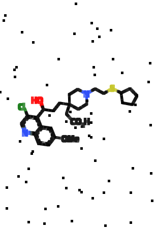 COc1ccc2ncc(Cl)c([C@@H](O)CCC3(CC(=O)O)CCN(CCSC4CCCC4)CC3)c2c1